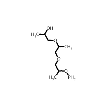 CC(O)COC(C)COCC(C)OP